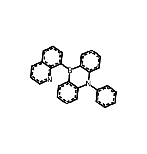 c1ccc(N2c3ccccc3B(c3cccc4cccnc34)c3ccccc32)cc1